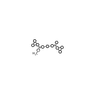 CC1C=CC(N(c2ccc(-c3ccc(-c4ccc(N(c5ccccc5)c5ccc6c7ccccc7c7ccccc7c6c5)cc4)cc3)cc2)c2ccc3c4ccccc4c4ccccc4c3c2)=CC1